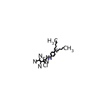 CCCCCN(CCCCC)c1ccc(/N=N/c2nc(Cl)c(C(C#N)=C(C#N)C#N)s2)cc1